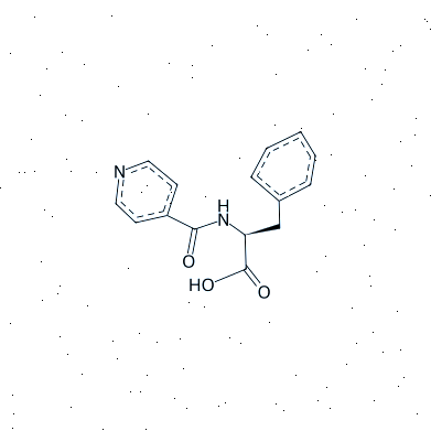 O=C(N[C@@H](Cc1ccccc1)C(=O)O)c1ccncc1